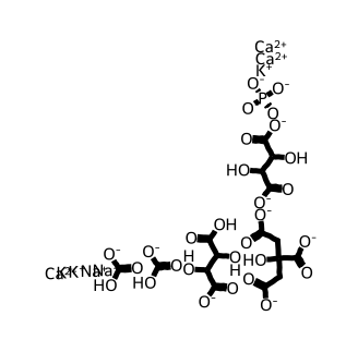 O=C([O-])C(O)C(O)C(=O)O.O=C([O-])C(O)C(O)C(=O)[O-].O=C([O-])CC(O)(CC(=O)[O-])C(=O)[O-].O=C([O-])O.O=C([O-])O.O=P([O-])([O-])[O-].[Ca+2].[Ca+2].[Ca+2].[K+].[K+].[K+].[Na+].[Na+]